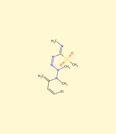 C=C(/C=C\CC)N(C)N(C)/N=N\C(=N/C)S(C)(=O)=O